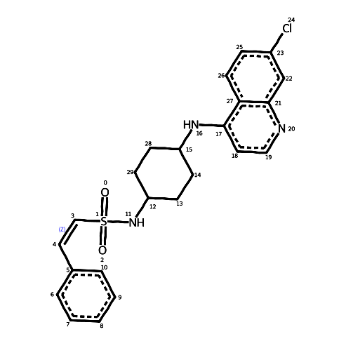 O=S(=O)(/C=C\c1ccccc1)NC1CCC(Nc2ccnc3cc(Cl)ccc23)CC1